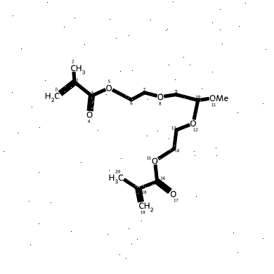 C=C(C)C(=O)OCCOCC(OC)OCCOC(=O)C(=C)C